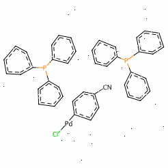 N#Cc1cc[c]([Pd][Cl])cc1.c1ccc(P(c2ccccc2)c2ccccc2)cc1.c1ccc(P(c2ccccc2)c2ccccc2)cc1